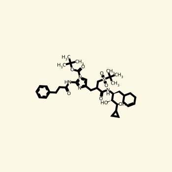 CC(C)(C)OC(=O)n1cc(CC(CS(=O)(=O)C(C)(C)C)C(=O)N[C@@H](CC2CC=CCC2)[C@@H](O)[C@@H](O)C2CC2)nc1NC(=O)CCc1ccccc1